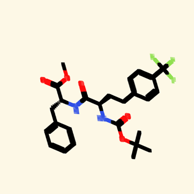 COC(=O)[C@@H](Cc1ccccc1)NC(=O)[C@@H](CCc1ccc(C(F)(F)F)cc1)NC(=O)OC(C)(C)C